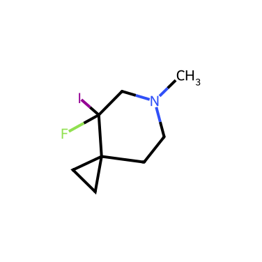 CN1CCC2(CC2)C(F)(I)C1